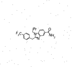 CC(C)Cn1c(Cc2ccc(C(F)(F)F)cc2)nc2cc(C(N)=O)ccc21